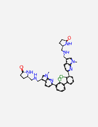 Cn1cc(CNC[C@H]2CCC(=O)N2)c2ccc(-c3cccc(-c4cccc(-c5ccc6c(CNC[C@H]7CCC(=O)N7)cn(C)c6n5)c4Cl)c3Cl)nc21